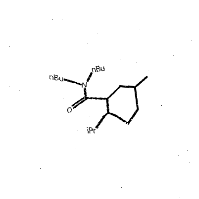 CCCCN(CCCC)C(=O)C1CC(C)CCC1C(C)C